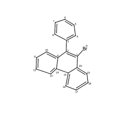 Brc1c(-c2ccccc2)c2ccccc2c2ccccc12